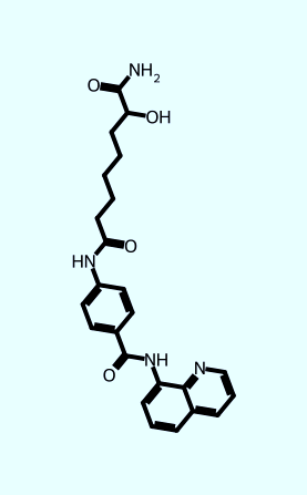 NC(=O)C(O)CCCCCC(=O)Nc1ccc(C(=O)Nc2cccc3cccnc23)cc1